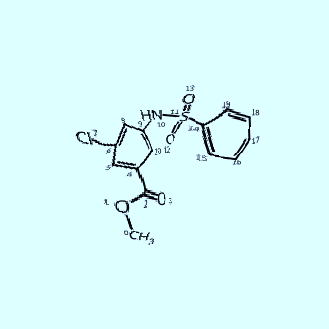 COC(=O)c1cc(Cl)cc(NS(=O)(=O)c2ccccc2)c1